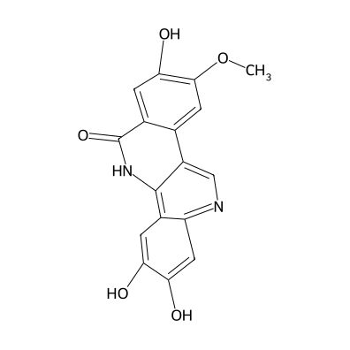 COc1cc2c(cc1O)c(=O)[nH]c1c3cc(O)c(O)cc3ncc21